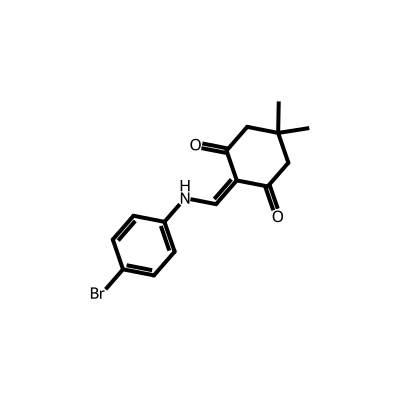 CC1(C)CC(=O)C(=CNc2ccc(Br)cc2)C(=O)C1